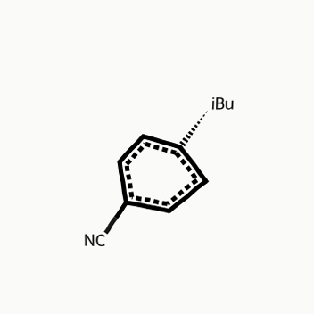 CC[C@@H](C)c1ccc(C#N)cc1